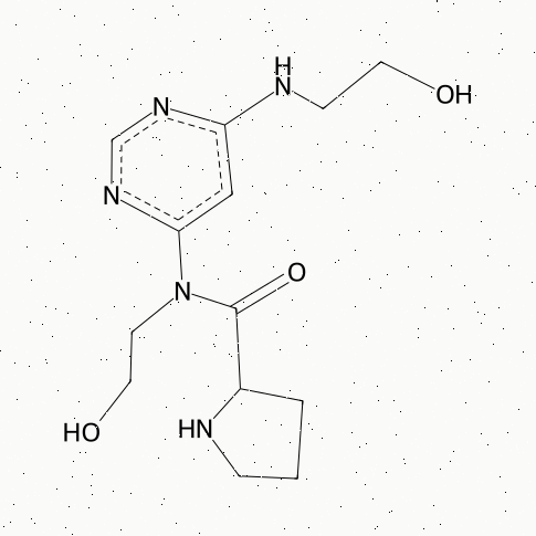 O=C(C1CCCN1)N(CCO)c1cc(NCCO)ncn1